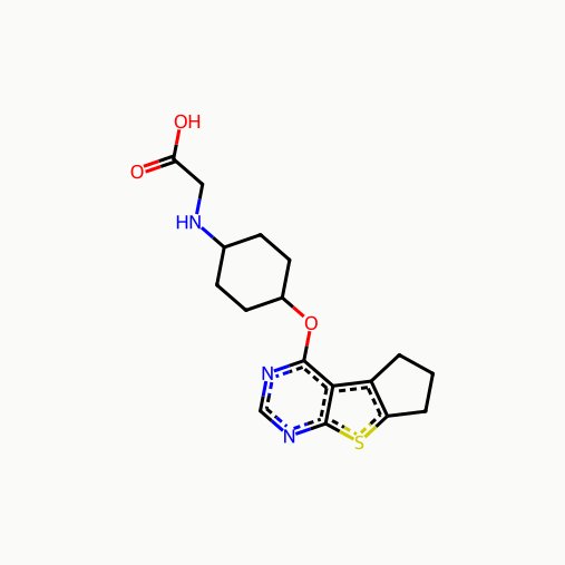 O=C(O)CNC1CCC(Oc2ncnc3sc4c(c23)CCC4)CC1